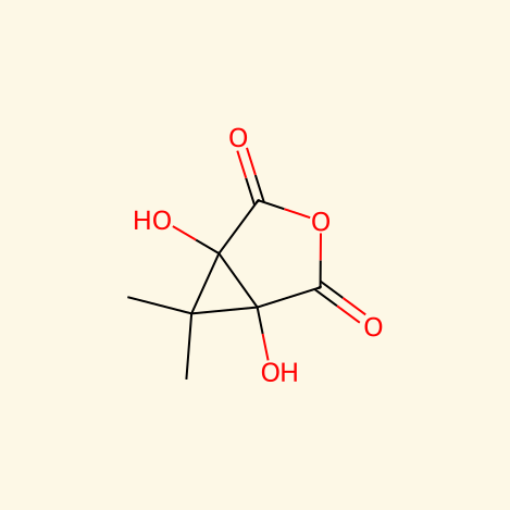 CC1(C)C2(O)C(=O)OC(=O)C12O